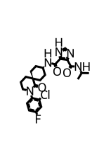 CC(C)NC(=O)c1nc[nH]c1C(=O)N[C@H]1CC[C@@]2(CCCN(c3ccc(F)cc3Cl)C2=O)CC1